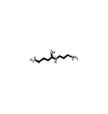 NCCCNC(O)CCCN